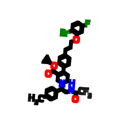 Cc1ccc(C(CNC(=O)C(F)(F)F)N2CCC(c3ccc(CCCOc4cc(F)ccc4Br)cc3)=C(C(=O)OC3CC3)C2)cc1